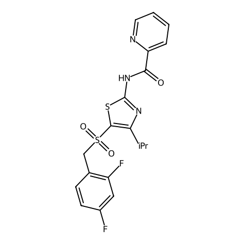 CC(C)c1nc(NC(=O)c2ccccn2)sc1S(=O)(=O)Cc1ccc(F)cc1F